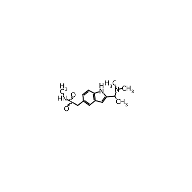 CNS(=O)(=O)Cc1ccc2[nH]c(C(C)N(C)C)cc2c1